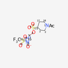 CC(=O)N1CCC(S(=O)(=O)OCC[NH+]([O-])S(=O)(=O)C(F)(F)F)CC1